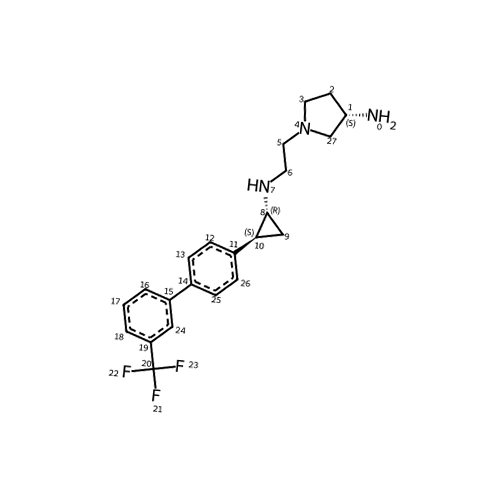 N[C@H]1CCN(CCN[C@@H]2C[C@H]2c2ccc(-c3cccc(C(F)(F)F)c3)cc2)C1